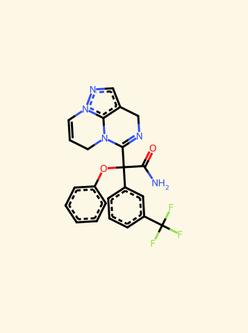 NC(=O)C(Oc1ccccc1)(C1=NCc2cnn3c2N1CC=C3)c1cccc(C(F)(F)F)c1